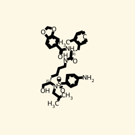 Cc1ccccc1C[C@@H](NC(=O)c1ccc2c(c1)OCO2)C(=O)NCCCC[C@@H](CO)N(CC(C)C)S(=O)(=O)c1ccc(N)cc1